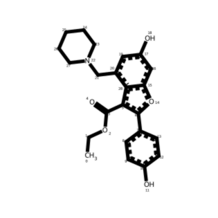 CCOC(=O)c1c(-c2ccc(O)cc2)oc2cc(O)cc(CN3CCCCC3)c12